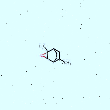 CC1CC2CCC1C1OC21C